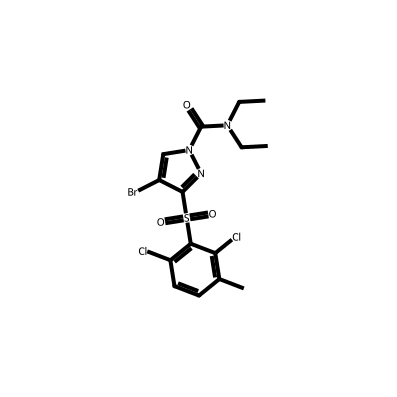 CCN(CC)C(=O)n1cc(Br)c(S(=O)(=O)c2c(Cl)ccc(C)c2Cl)n1